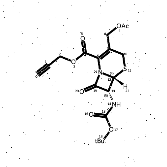 C#CCOC(=O)C1=C(COC(C)=O)CS[C@@H]2[C@H](NC(=O)OC(C)(C)C)C(=O)N12